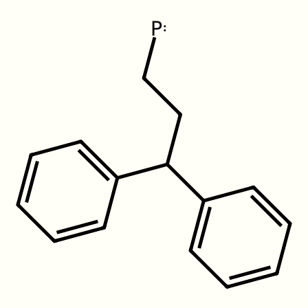 [P]CCC(c1ccccc1)c1ccccc1